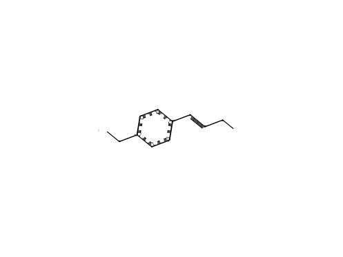 CC(C)Cc1ccc(/C=C/CO)cc1